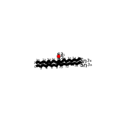 CCCCCCCCCCCCCCCCC[CH2][Sn+3].CCCCCCCCCCCCCCCCC[CH2][Sn+3].[S-2].[S-2].[S-2]